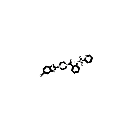 O=C(c1ccccc1NS(=O)(=O)c1ccccn1)N1CCN(c2nc3ccc(Cl)cc3s2)CC1